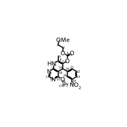 COCCOC(=O)OC1=C(C)Nc2ncnc(OC(C)C)c2C1c1cccc([N+](=O)[O-])c1